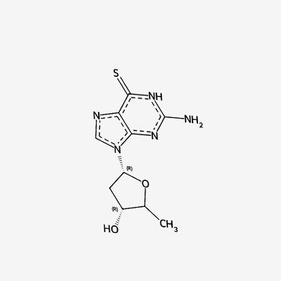 CC1O[C@@H](n2cnc3c(=S)[nH]c(N)nc32)C[C@H]1O